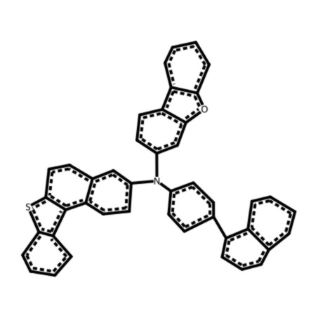 c1ccc2c(-c3ccc(N(c4ccc5c(ccc6sc7ccccc7c65)c4)c4ccc5c(c4)oc4ccccc45)cc3)cccc2c1